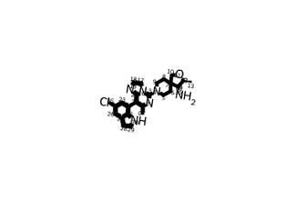 Cc1nc(N2CCC3(CC2)CO[C@@H](C)[C@H]3N)n2ccnc2c1-c1cc(Cl)cc2cc[nH]c12